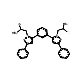 CCCCC(CC)Cn1nc(-c2ccccc2)cc1-c1cccc(-c2cc(-c3ccccc3)nn2CC(CC)CCCC)c1